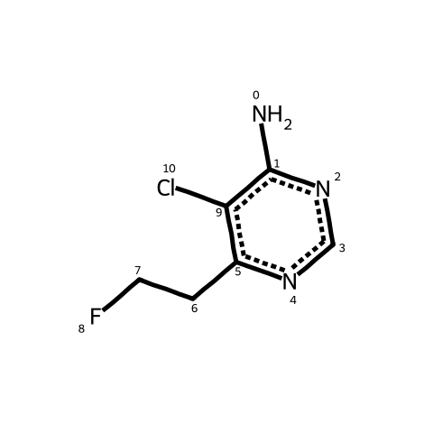 Nc1ncnc(CCF)c1Cl